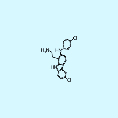 NCCc1c(Nc2ccc(Cl)cc2)ccc2c1[nH]c1ccc(Cl)cc12